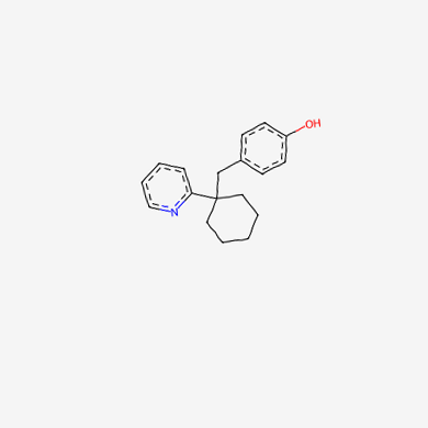 Oc1ccc(CC2(c3ccccn3)CCCCC2)cc1